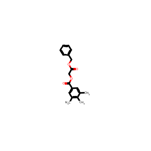 Cc1cc(C(=O)OCC(=O)OCc2ccccc2)cc(C)c1C